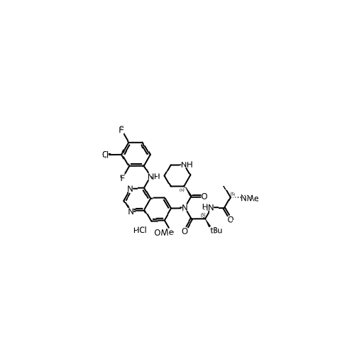 CN[C@@H](C)C(=O)N[C@H](C(=O)N(C(=O)[C@H]1CCCNC1)c1cc2c(Nc3ccc(F)c(Cl)c3F)ncnc2cc1OC)C(C)(C)C.Cl